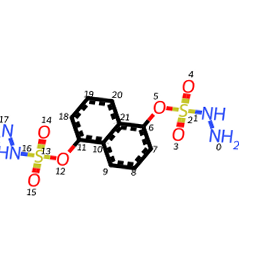 NNS(=O)(=O)Oc1cccc2c(OS(=O)(=O)NN)cccc12